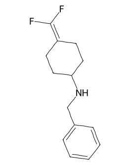 FC(F)=C1CCC(NCc2ccccc2)CC1